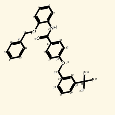 O=C(Nc1ccccc1OCc1ccccc1)c1ccc(OCc2cccc(C(F)(F)F)c2)cc1